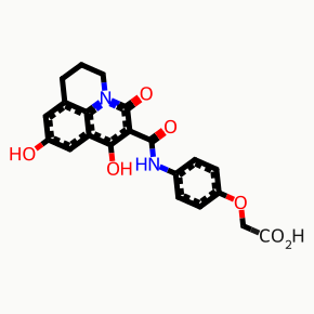 O=C(O)COc1ccc(NC(=O)c2c(O)c3cc(O)cc4c3n(c2=O)CCC4)cc1